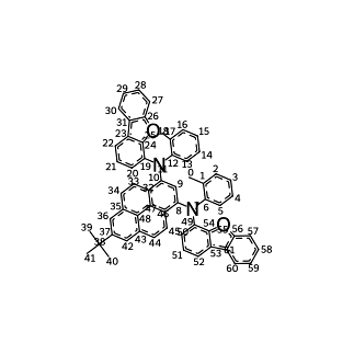 Cc1ccccc1N(c1cc(N(c2ccccc2C)c2cccc3c2oc2ccccc23)c2ccc3cc(C(C)(C)C)cc4ccc1c2c43)c1cccc2c1oc1ccccc12